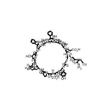 C#CC[C@H](NC(=O)CNC(=O)[C@@H]1CSCC(=O)N[C@@H](Cc2ccc(O)cc2)C(=O)N(C)[C@@H](C)C(=O)N[C@@H](CC(=O)O)C(=O)N2CCC[C@H]2C(=O)N[C@@H](Cc2c[nH]cn2)C(=O)N[C@@H](CCC(N)=O)C(=O)N2C[C@H](O)C[C@H]2C(=O)N[C@@H](Cc2c[nH]c3ccccc23)C(=O)N[C@@H](CO)C(=O)N[C@@H](Cc2c[nH]c3ccccc23)C(=O)N(C)[C@@H](CCCC)C(=O)N(C)[C@@H](CCCC)C(=O)N[C@@H](CCC(=O)O)C(=O)N1)C(N)=O